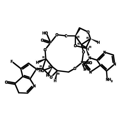 Nc1ncnc2c1ncn2[C@@H]1O[C@@]23CO[C@@H]1[C@@H]2OP(=O)(S)OC[C@H]1O[C@@H](n2cc(F)c4c2N=CCC4=O)[C@H](OP(=O)(O)OC3)[C@@H]1O